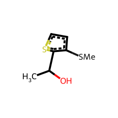 CSc1ccsc1C(C)O